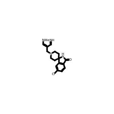 CN/C=C(\C=N)CN1CCC2(CC1)NC(=O)c1ccc(Cl)cc12